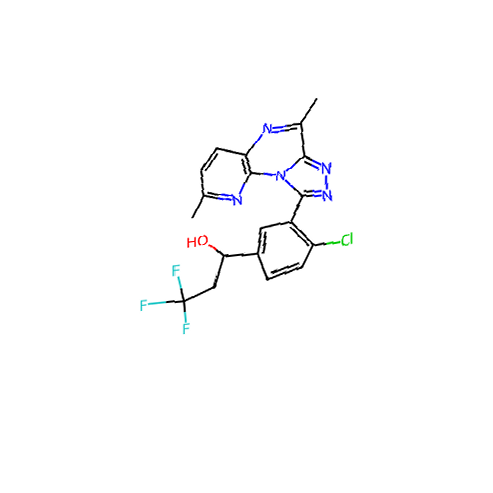 Cc1ccc2nc(C)c3nnc(-c4cc(C(O)CC(F)(F)F)ccc4Cl)n3c2n1